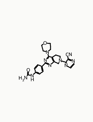 N#Cc1nccnc1N1CCc2c(nc(-c3ccc(NC(N)=O)cc3)nc2N2CCOCC2)C1